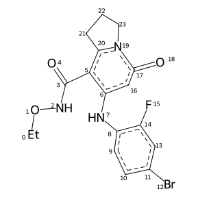 CCONC(=O)c1c(Nc2ccc(Br)cc2F)cc(=O)n2c1CCC2